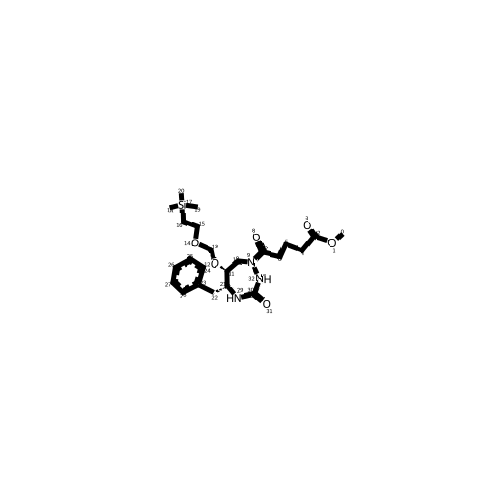 COC(=O)CCCC(=O)N1C[C@@H](OCOCC[Si](C)(C)C)[C@@H](Cc2ccccc2)NC(=O)N1